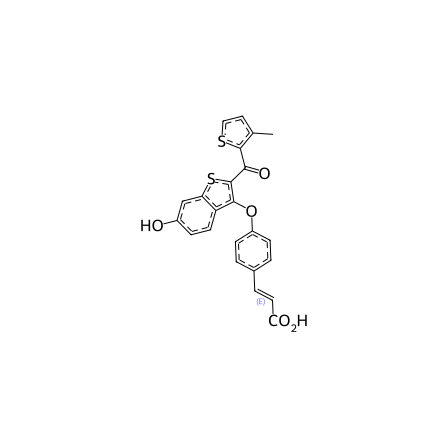 Cc1ccsc1C(=O)c1sc2cc(O)ccc2c1Oc1ccc(/C=C/C(=O)O)cc1